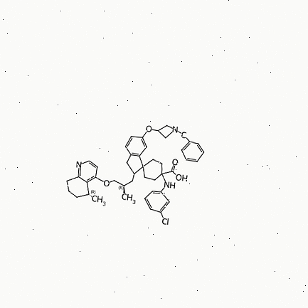 C[C@@H](COc1ccnc2c1[C@H](C)CCC2)CC1Cc2ccc(OC3CN(Cc4ccccc4)C3)cc2C12CCC(Nc1cccc(Cl)c1)(C(=O)O)CC2